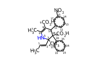 CC=CC1(C)NC(C)=C(C(=O)O)C(c2cccc([N+](=O)[O-])c2)C1(C(=O)O)c1ccccc1